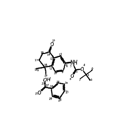 CC(C)(C)OC(=O)Nc1ccc2c(c1)C(=O)CCC2(C)C.O=C(O)c1ccccc1